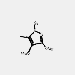 COc1nn(C(C)(C)C)c(C)c1OC